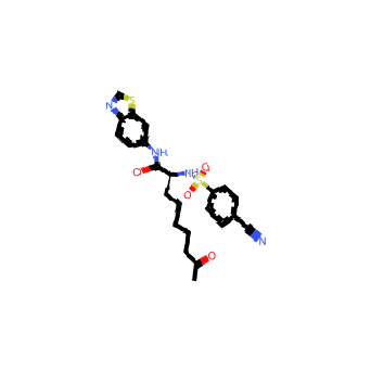 CC(=O)CCCCC[C@H](NS(=O)(=O)c1ccc(C#N)cc1)C(=O)Nc1ccc2ncsc2c1